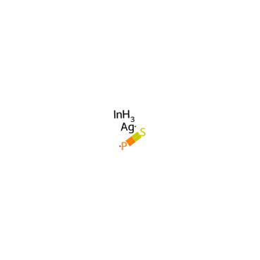 [Ag].[InH3].[P]=S